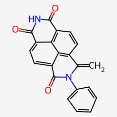 C=c1c2ccc3c4c(ccc(c(=O)n1-c1ccccc1)c42)C(=O)NC3=O